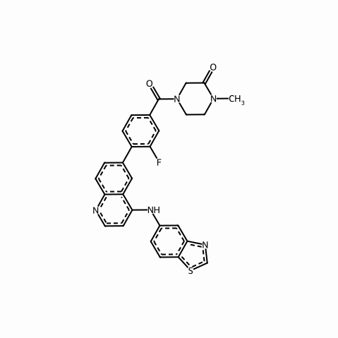 CN1CCN(C(=O)c2ccc(-c3ccc4nccc(Nc5ccc6scnc6c5)c4c3)c(F)c2)CC1=O